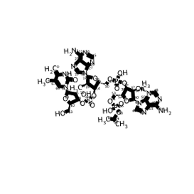 C=C1NC(=O)N([C@H]2C[C@H](OP(=O)(O)O[C@H]3[C@@H](C)[C@H](n4cnc5c(N)ncnc54)O[C@@H]3COP(=O)(O)O[C@H]3[C@@H](OC)[C@H](n4cnc5c(N)ncnc54)O[C@@H]3COP(=O)(O)OC(C)C)[C@@H](CO)O2)C=C1C